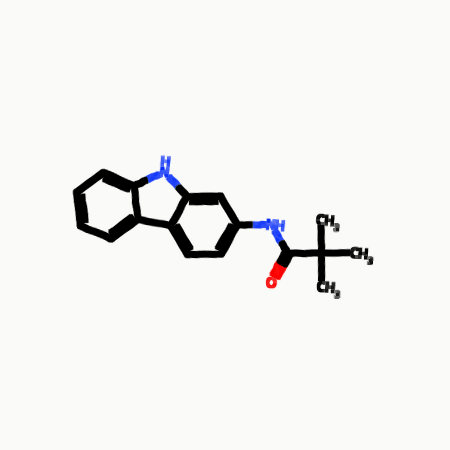 CC(C)(C)C(=O)Nc1ccc2c(c1)[nH]c1ccccc12